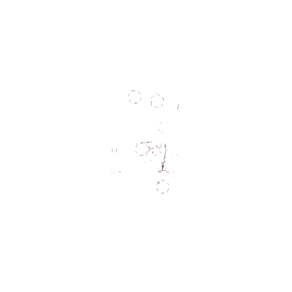 C=CCOC(=O)NC(CSCC1c2ccccc2-c2ccccc21)C(=O)N[C@H]1CSC2c3c(O)c(C)c4c(c3[C@H](COC1=O)N1C2[C@H]2c3c(cc(C)c(OC)c3OCOC)C[C@@H]([C@@H]1C#N)N2C)OCO4